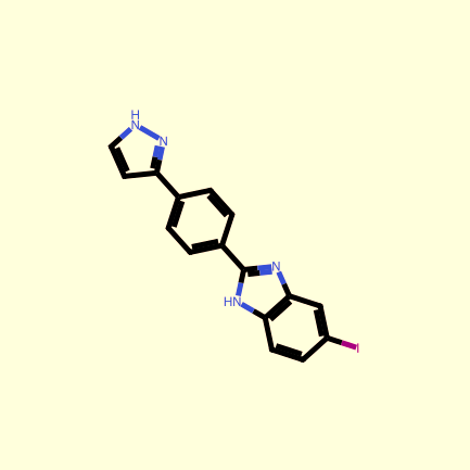 Ic1ccc2[nH]c(-c3ccc(-c4cc[nH]n4)cc3)nc2c1